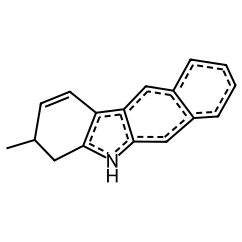 CC1C=Cc2c([nH]c3cc4ccccc4cc23)C1